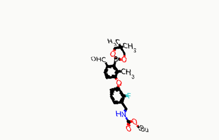 Cc1c(Oc2cccc(CNC(=O)OC(C)(C)C)c2F)ccc(C=O)c1B1OCC(C)(C)CO1